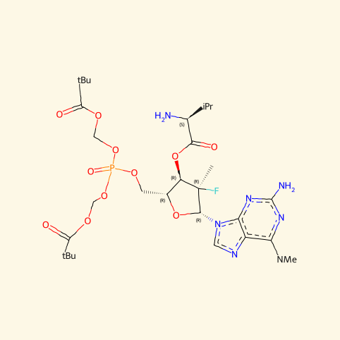 CNc1nc(N)nc2c1ncn2[C@@H]1O[C@H](COP(=O)(OCOC(=O)C(C)(C)C)OCOC(=O)C(C)(C)C)[C@@H](OC(=O)[C@@H](N)C(C)C)[C@@]1(C)F